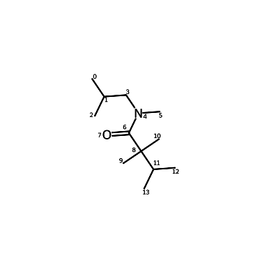 CC(C)CN(C)C(=O)C(C)(C)C(C)C